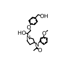 COc1cccc(N(C(C)=O)C2CCN(C(O)COc3ccc(CO)cc3)C2)c1